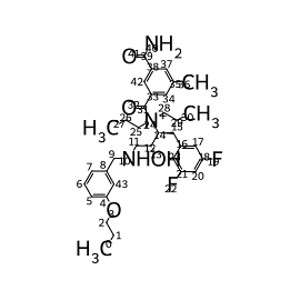 CCCOc1cccc(CNC[C@@H](O)[C@H](Cc2cc(F)cc(F)c2)[N+](CCC)(CCC)C(=O)c2cc(C)cc(C(N)=O)c2)c1